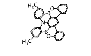 Cc1ccc2c(c1)B1Oc3ccccc3-c3cc4c5c(c31)N2c1ccc(C)cc1B5Oc1ccccc1-4